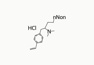 C=Cc1ccc(CC(CCCCCCCCCCC)N(C)C)cc1.Cl